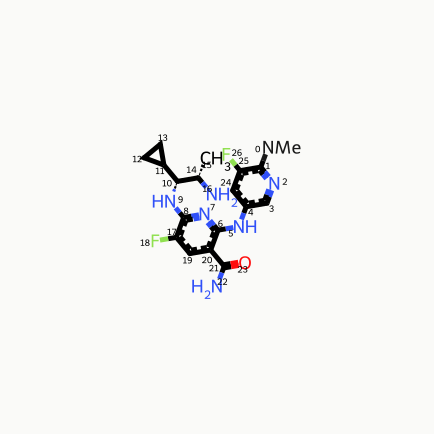 CNc1ncc(Nc2nc(N[C@H](C3CC3)[C@H](C)N)c(F)cc2C(N)=O)cc1F